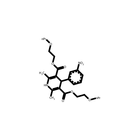 CCCOCCOC(=O)C1=C(C)NC(C)=C(C(=O)OCCOCCC)C1c1cccc([N+](=O)[O-])c1